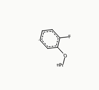 CCCOc1c[c]ccc1F